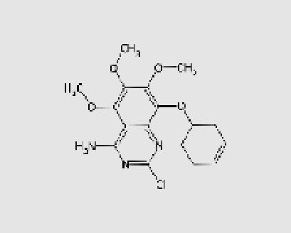 COc1c(OC)c(OC)c2c(N)nc(Cl)nc2c1OC1CC=CCC1